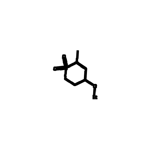 CCOC1CCS(=O)(=O)C(C)C1